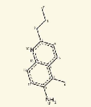 CCCc1ccc2c(C)c(N)ccc2n1